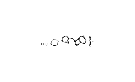 CS(=O)(=O)c1cc2ccn(Cc3ccc(C4CCN(C(=O)O)CC4)cn3)c2cn1